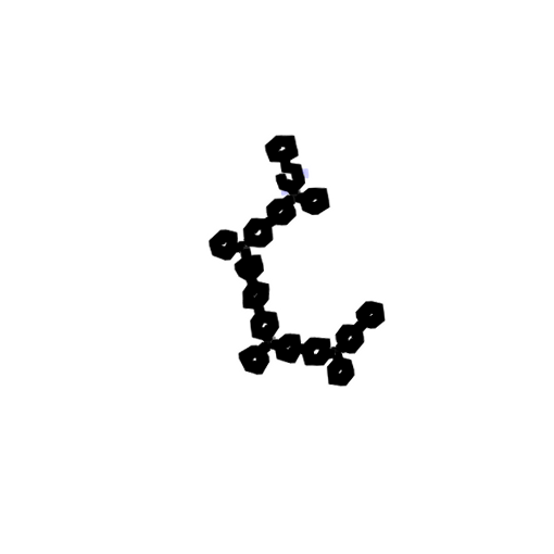 C/C=C(\C=C/Cc1ccccc1)N(c1ccccc1)c1ccc(-c2ccc(N(c3ccccc3)c3ccc(-c4ccc(-c5ccc(N(c6ccccc6)c6ccc(-c7ccc(N(c8ccccc8)c8ccc(-c9ccccc9)cc8)cc7)cc6)cc5)cc4)cc3)cc2)cc1